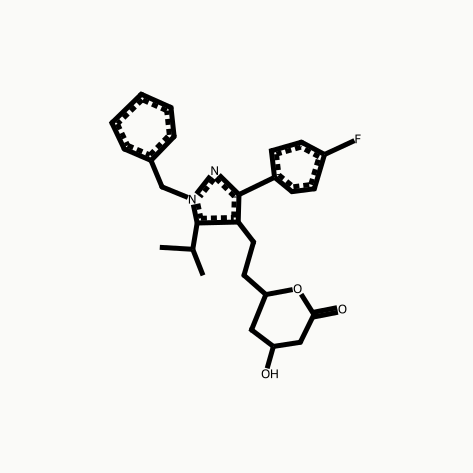 CC(C)c1c(CCC2CC(O)CC(=O)O2)c(-c2ccc(F)cc2)nn1Cc1ccccc1